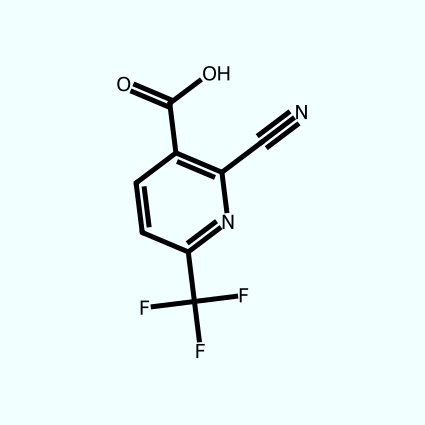 N#Cc1nc(C(F)(F)F)ccc1C(=O)O